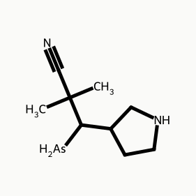 CC(C)(C#N)C([AsH2])C1CCNC1